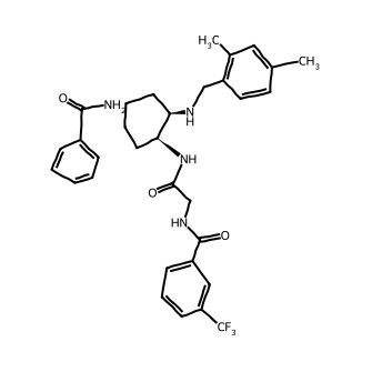 Cc1ccc(CN[C@@H]2CCCC[C@@H]2NC(=O)CNC(=O)c2cccc(C(F)(F)F)c2)c(C)c1.NC(=O)c1ccccc1